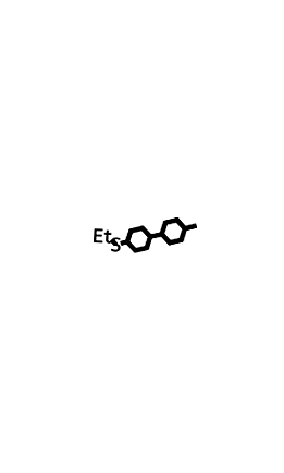 CCSC1CCC(C2CCC(C)CC2)CC1